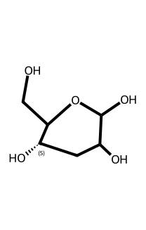 OCC1OC(O)C(O)C[C@@H]1O